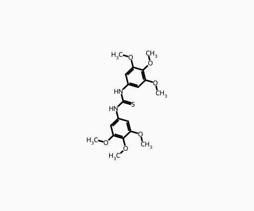 COc1cc(NC(=S)Nc2cc(OC)c(OC)c(OC)c2)cc(OC)c1OC